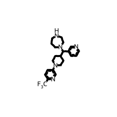 FC(F)(F)c1ccc(N2CCC(C(c3cccnc3)N3CCCNCC3)CC2)cn1